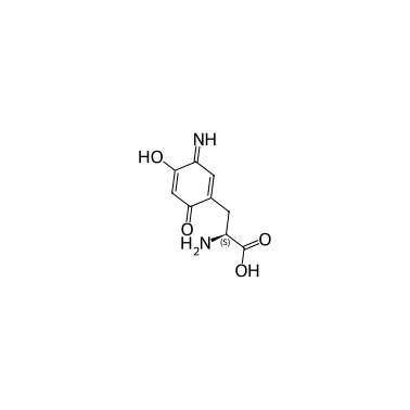 N=C1C=C(C[C@H](N)C(=O)O)C(=O)C=C1O